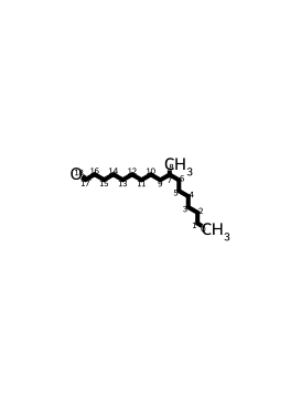 CCCCCCCC(C)CCCCCCCC[C]=O